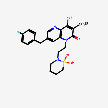 CCOC(=O)c1c(O)c2ncc(Cc3ccc(F)cc3)cc2n(CCN2CCCCS2(O)O)c1=O